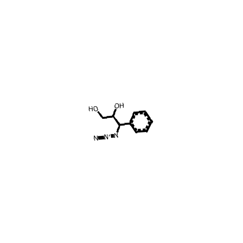 [N-]=[N+]=NC(c1ccccc1)C(O)CO